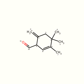 C=C1CC(C)(C)C(C)=CC1C=O